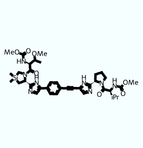 COC(=O)N[C@H](C(=O)N1CCC[C@H]1c1ncc(C#Cc2ccc(-c3cnc([C@@H]4C[Si](C)(C)CN4C(=O)[C@@H](NC(=O)OC)C(C)OC)[nH]3)cc2)[nH]1)C(C)C